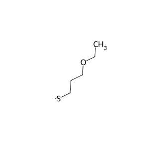 CCOCCC[S]